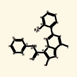 Cc1nc2c(C)cc(-c3ccccc3C(F)(F)F)nn2c1C(=O)Nc1cnccn1